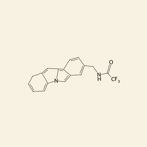 O=C(NCc1ccc2c(c1)cn1c3c(cc21)CC=CC=3)C(F)(F)F